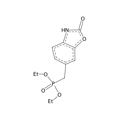 CCOP(=O)(Cc1ccc2[nH]c(=O)oc2c1)OCC